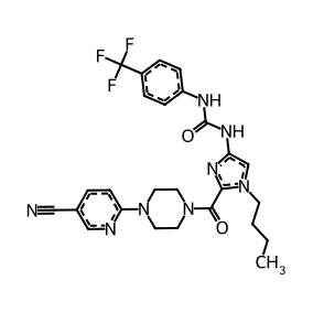 CCCCn1cc(NC(=O)Nc2ccc(C(F)(F)F)cc2)nc1C(=O)N1CCN(c2ccc(C#N)cn2)CC1